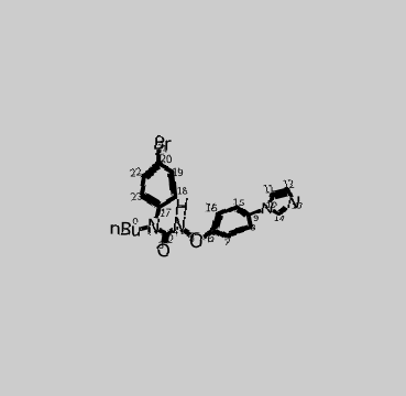 CCCCN(C(=O)NOc1ccc(-n2ccnc2)cc1)c1ccc(Br)cc1